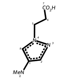 CNc1cnn(CCC(=O)O)c1